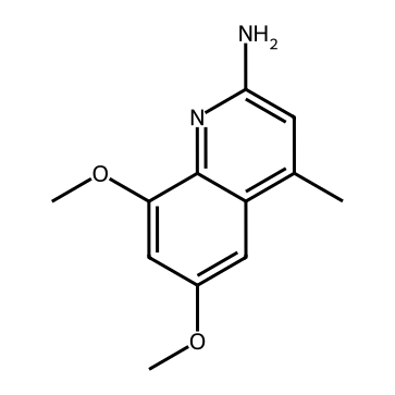 COc1cc(OC)c2nc(N)cc(C)c2c1